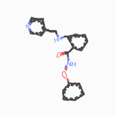 O=C(NOc1ccccc1)c1ccccc1NCc1ccncc1